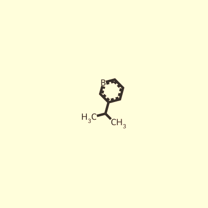 CC(C)c1cbccc1